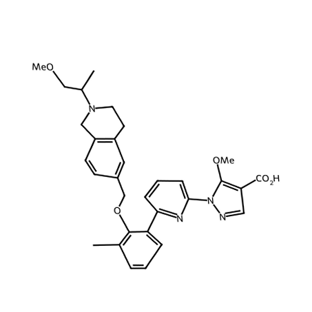 COCC(C)N1CCc2cc(COc3c(C)cccc3-c3cccc(-n4ncc(C(=O)O)c4OC)n3)ccc2C1